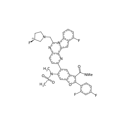 CNC(=O)c1c(-c2ccc(F)cc2F)oc2cc(N(C)S(C)(=O)=O)c(-c3ccc4nc(CN5CC[C@H](F)C5)n5c6cccc(F)c6cc5c4n3)cc12